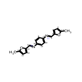 Cc1ccc(/C=N/c2ccc(/N=C/c3ccc(C)o3)cc2)o1